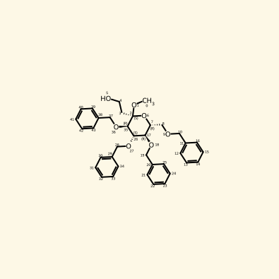 CO[C@@]1(CCO)O[C@H](COCc2ccccc2)[C@@H](OCc2ccccc2)[C@H](OCc2ccccc2)[C@H]1OCc1ccccc1